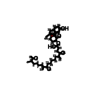 CC(=O)C(C)CCCCC(C)C(=O)CCCCCC(C)C(=O)CCC(O)OC1CCC2C3Cc4ccc(O)c5c4C2(CCN3C)C1O5